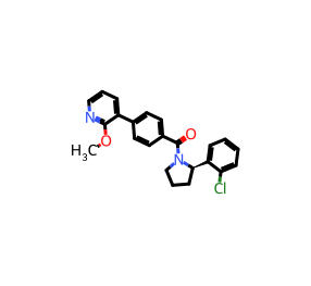 COc1ncccc1-c1ccc(C(=O)N2CCC[C@@H]2c2ccccc2Cl)cc1